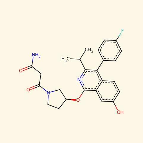 CC(C)c1nc(O[C@H]2CCN(C(=O)CC(N)=O)C2)c2cc(O)ccc2c1-c1ccc(F)cc1